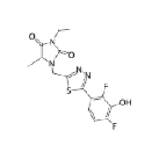 CCN1C(=O)C(C)N(Cc2nnc(-c3ccc(F)c(O)c3F)s2)C1=O